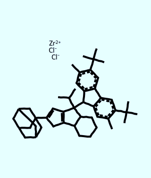 Cc1cc2c(cc1C(C)(C)C)-c1cc(C(C)(C)C)c(C)cc1C2C1(C(C)C)C2=C(CC(C34CC5CC(CC(C5)C3)C4)=C2)C2CCCCC21.[Cl-].[Cl-].[Zr+2]